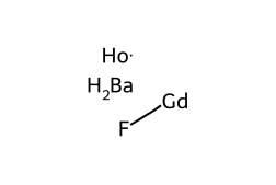 [BaH2].[F][Gd].[Ho]